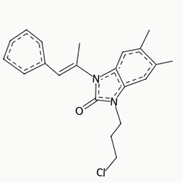 C/C(=C\c1ccccc1)n1c(=O)n(CCCCl)c2cc(C)c(C)cc21